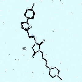 CN1CCN(CCCCN2C(=O)CN(/N=C/c3ccc(-c4ccc(Cl)cc4)o3)C2=O)CC1.Cl